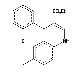 CCOC(=O)C1=CNc2cc(C)c(C)cc2C1c1ccccc1Cl